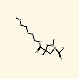 COCCOCCNC(=O)C(C)(COC)COC(C)=O